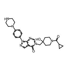 O=C(C1CC1)N1CCC(O)(Cn2cnc3c(cnn3-c3ccc(N4CCNCC4)cc3)c2=O)CC1